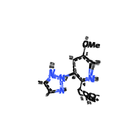 COc1cnc(C(=O)[O-])c(-n2nccn2)c1.[Na+]